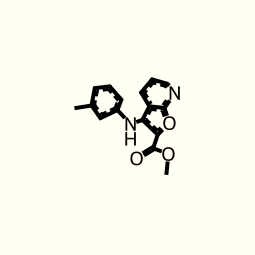 COC(=O)c1oc2ncccc2c1Nc1cccc(C)c1